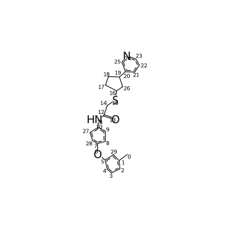 Cc1cccc(Oc2ccc(NC(=O)CSC3CCC(c4cccnc4)C3)cc2)c1